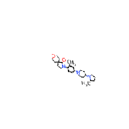 Cc1cc(N2CCC(N3CCCC3C)CC2)ccc1N1CCC2(CCOCC2)C1=O